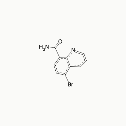 NC(=O)c1ccc(Br)c2cccnc12